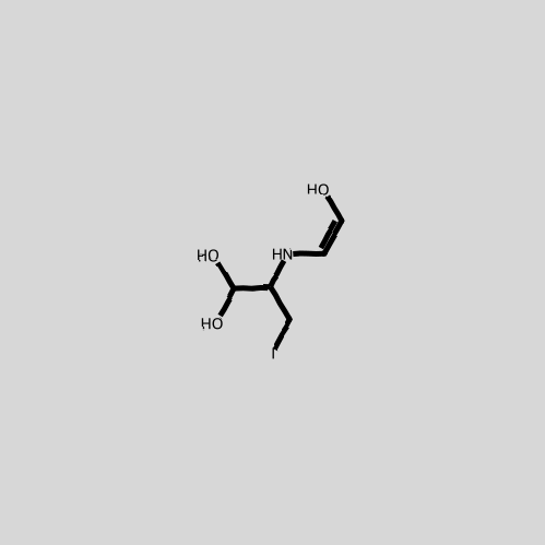 O/C=C\NC(CI)C(O)O